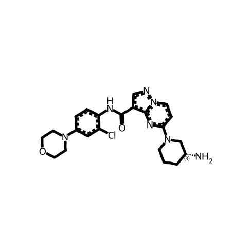 N[C@@H]1CCCN(c2ccn3ncc(C(=O)Nc4ccc(N5CCOCC5)cc4Cl)c3n2)C1